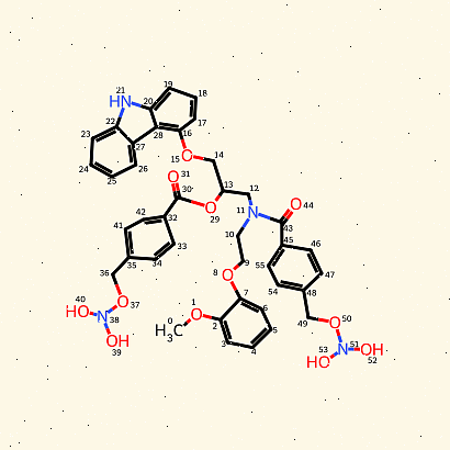 COc1ccccc1OCCN(CC(COc1cccc2[nH]c3ccccc3c12)OC(=O)c1ccc(CON(O)O)cc1)C(=O)c1ccc(CON(O)O)cc1